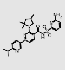 CC1CN(c2nc(-c3ccc(C(C)C)nc3)ccc2C(=O)NS(=O)(=O)c2cccc(N)n2)C(C)(C)C1